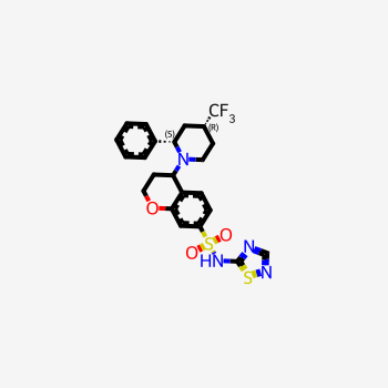 O=S(=O)(Nc1ncns1)c1ccc2c(c1)OCCC2N1CC[C@@H](C(F)(F)F)C[C@H]1c1ccccc1